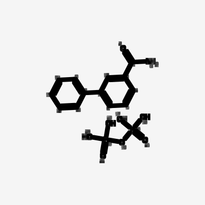 NC(=O)c1cccc(-c2ccccc2)c1.O=P(O)(O)OP(=O)(O)O